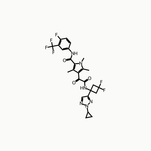 Cc1c(C(=O)C(=O)NC2(c3cnn(C4CC4)n3)CC(F)(F)C2)c(C)n(C)c1C(=O)Nc1ccc(F)c(C(F)(F)F)c1